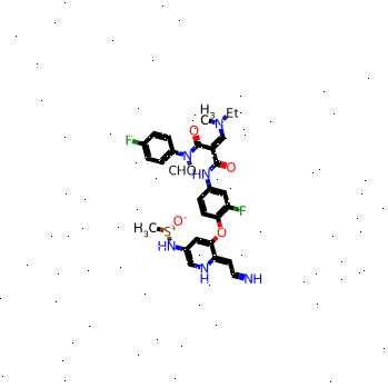 CCN(C)/C=C(/C(=O)Nc1ccc(OC2=CC(N[S+](C)[O-])=CN/C2=C\C=N)c(F)c1)C(=O)N(C=O)c1ccc(F)cc1